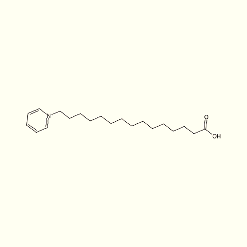 O=C(O)CCCCCCCCCCCCCC[n+]1ccccc1